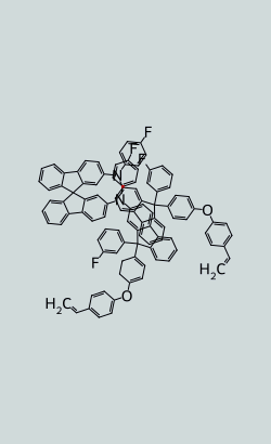 C=Cc1ccc(OC2=CC=C(C3(c4cccc(F)c4)c4ccccc4-c4ccc(N(c5ccc(F)cc5)c5ccc6c(c5)C5(c7ccccc7-6)c6ccccc6-c6ccc(N(c7ccc(F)cc7)c7ccc8c(c7)C(c7ccc(Oc9ccc(C=C)cc9)cc7)(c7cccc(F)c7)c7ccccc7-8)cc65)cc43)CC2)cc1